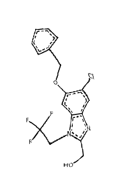 OCc1nc2cc(Cl)c(OCc3ccccc3)cc2n1CC(F)(F)F